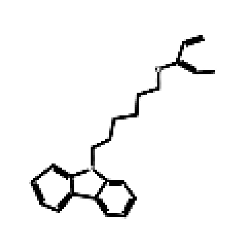 C=CC(=CC)OCCCCCCn1c2ccccc2c2ccccc21